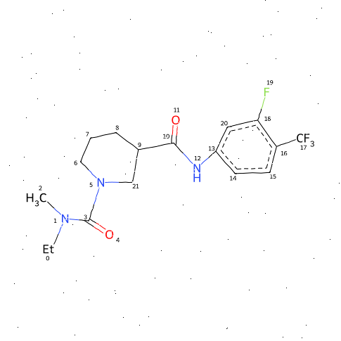 CCN(C)C(=O)N1CCCC(C(=O)Nc2ccc(C(F)(F)F)c(F)c2)C1